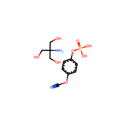 N#COc1ccc(OP(=O)(O)O)cc1.NC(CO)(CO)CO